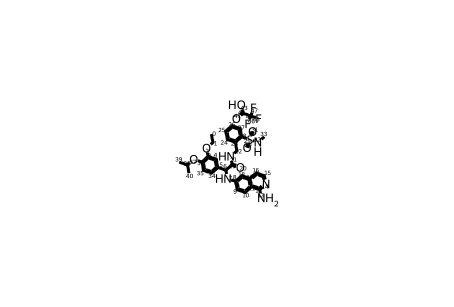 CCOc1cc(C(Nc2ccc3c(N)nccc3c2)C(=O)NCc2ccccc2S(=O)(=O)NC)ccc1OC(C)C.O=C(O)C(F)(F)F